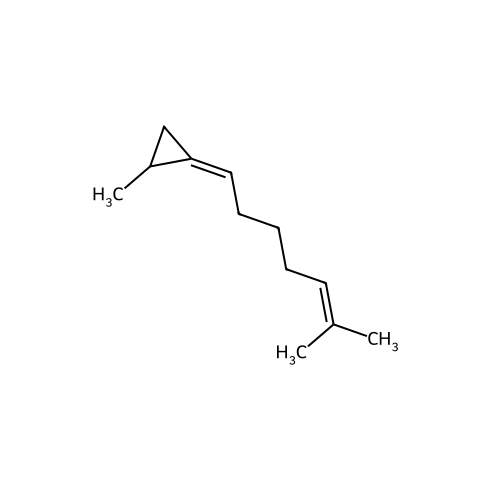 CC(C)=CCCCC=C1CC1C